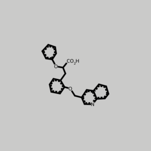 O=C(O)C(Cc1ccccc1OCc1cnc2ccccc2c1)Oc1ccccc1